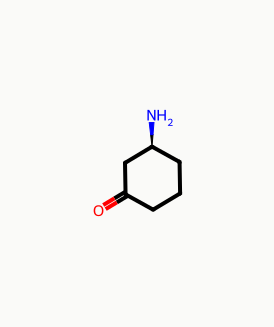 N[C@H]1CCCC(=O)C1